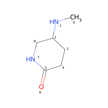 CNC1CCC(=O)NC1